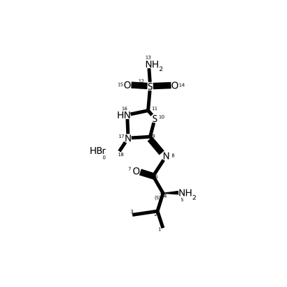 Br.CC(C)[C@H](N)C(=O)N=C1SC(S(N)(=O)=O)NN1C